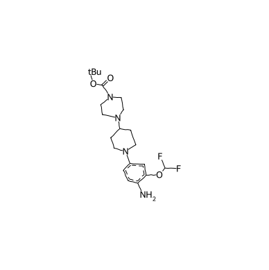 CC(C)(C)OC(=O)N1CCN(C2CCN(c3ccc(N)c(OC(F)F)c3)CC2)CC1